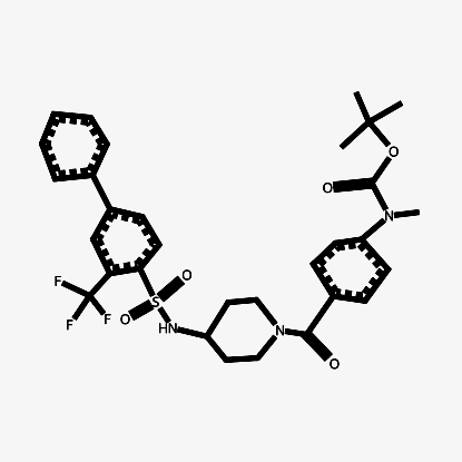 CN(C(=O)OC(C)(C)C)c1ccc(C(=O)N2CCC(NS(=O)(=O)c3ccc(-c4ccccc4)cc3C(F)(F)F)CC2)cc1